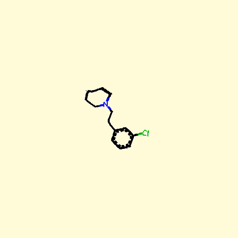 Clc1cccc(CCN2CC[CH]CC2)c1